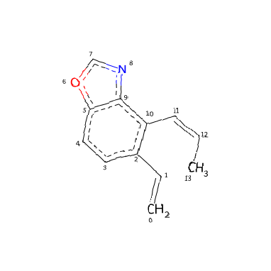 C=Cc1ccc2ocnc2c1/C=C\C